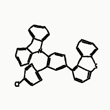 Clc1ccc(-c2cc(-c3cccc4sc5ccccc5c34)ccc2-n2c3ccccc3c3ccccc32)cc1